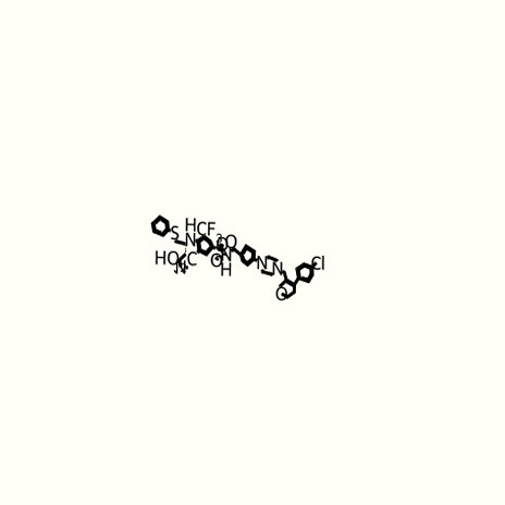 CN(C)CC[C@H](CSc1ccccc1)Nc1c(C(=O)O)cc(S(=O)(=O)NC(=O)c2ccc(N3CCN(CC4=C(c5ccc(Cl)cc5)CCOC4)CC3)cc2)cc1C(F)(F)F